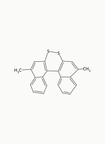 Cc1cc2c(c3ccccc13)-c1c(cc(C)c3ccccc13)SS2